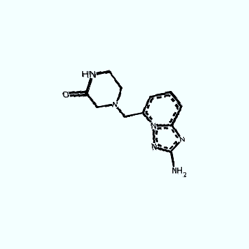 Nc1nc2cccc(CN3CCNC(=O)C3)n2n1